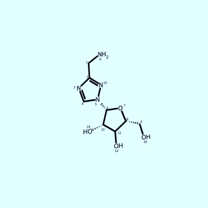 NCc1ncn([C@@H]2O[C@H](CO)C(O)[C@@H]2O)n1